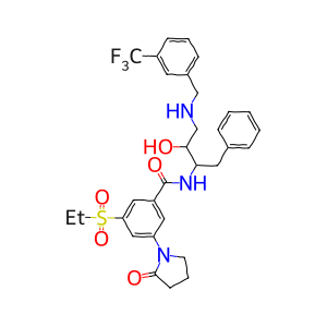 CCS(=O)(=O)c1cc(C(=O)NC(Cc2ccccc2)C(O)CNCc2cccc(C(F)(F)F)c2)cc(N2CCCC2=O)c1